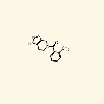 [CH2]c1ccccc1C(=O)N1CCc2[nH]nnc2C1